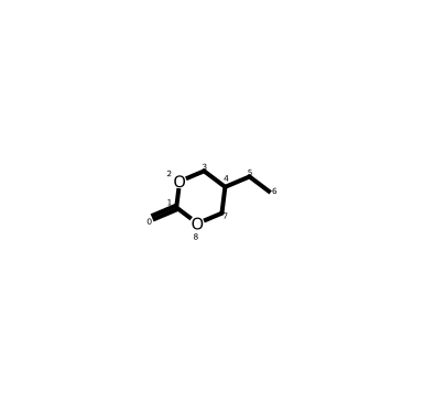 C=C1OCC(CC)CO1